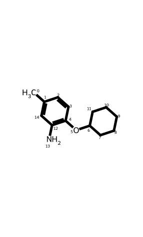 Cc1ccc(OC2CCCCC2)c(N)c1